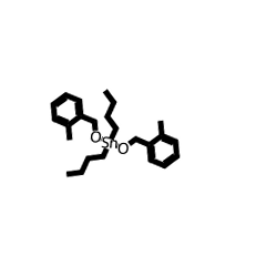 CCC[CH2][Sn]([CH2]CCC)([O]Cc1ccccc1C)[O]Cc1ccccc1C